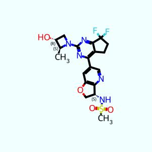 C[C@H]1[C@H](O)CN1c1nc(-c2cnc3c(c2)OC[C@H]3NS(C)(=O)=O)c2c(n1)C(F)(F)CC2